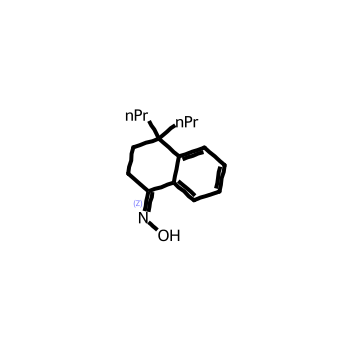 CCCC1(CCC)CC/C(=N/O)c2ccccc21